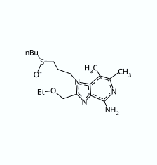 CCCC[S+]([O-])CCCn1c(COCC)nc2c(N)nc(C)c(C)c21